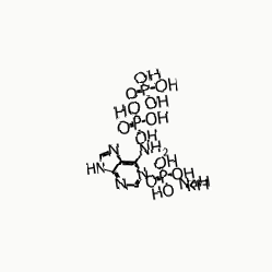 Nc1ncnc2[nH]cnc12.O=P(O)(O)O.O=P(O)(O)O.O=P(O)(O)O.[KH].[NaH]